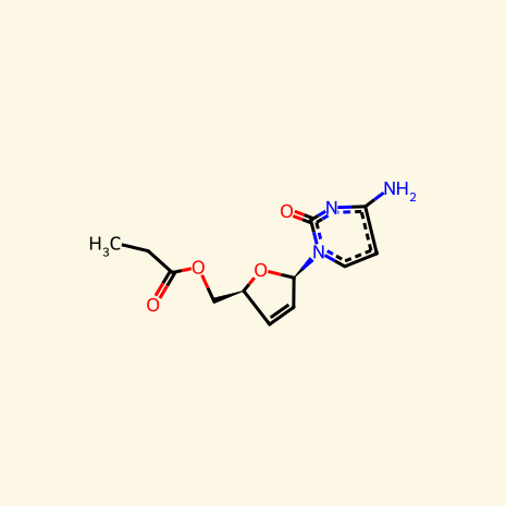 CCC(=O)OC[C@@H]1C=C[C@H](n2ccc(N)nc2=O)O1